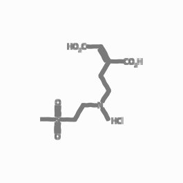 CN(CCC(=CC(=O)O)C(=O)O)CCS(C)(=O)=O.Cl